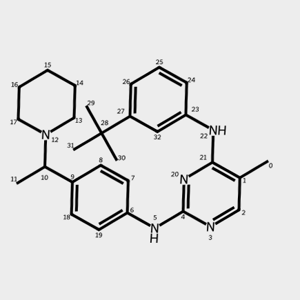 Cc1cnc(Nc2ccc(C(C)N3CCCCC3)cc2)nc1Nc1cccc(C(C)(C)C)c1